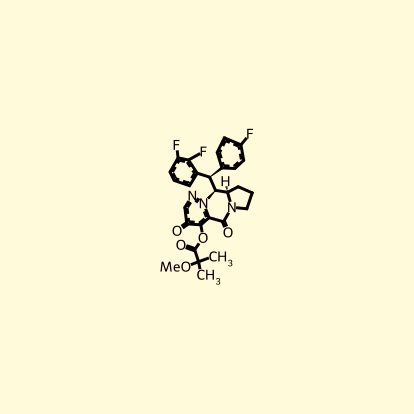 COC(C)(C)C(=O)Oc1c2n(ncc1=O)[C@@H]([C@H](c1ccc(F)cc1)c1cccc(F)c1F)[C@H]1CCCN1C2=O